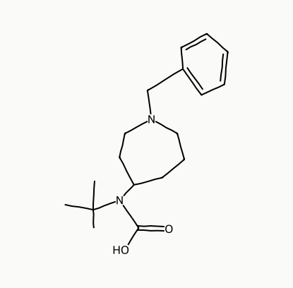 CC(C)(C)N(C(=O)O)C1CCCN(Cc2ccccc2)CC1